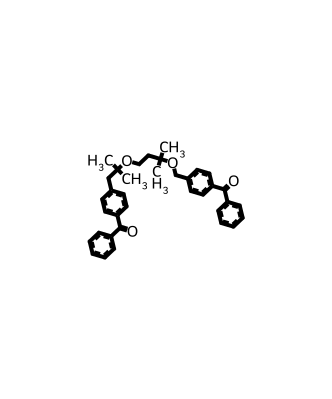 CC(C)(CCOC(C)(C)Cc1ccc(C(=O)c2ccccc2)cc1)OCc1ccc(C(=O)c2ccccc2)cc1